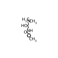 Cc1ccc(C(=O)NCCC(O)CCN(C)C)cc1